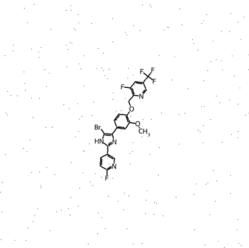 COc1cc(-c2nc(-c3ccc(F)nc3)[nH]c2Br)ccc1OCc1ncc(C(F)(F)F)cc1F